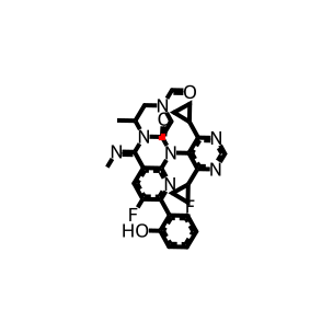 C/N=C(\c1cc(F)c(-c2c(O)cccc2F)nc1N(C=O)c1c(C2CC2)ncnc1C1CC1)N1CCN(C=O)CC1C